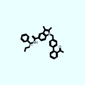 C=C(N[C@@H](CCC)c1ccccc1)c1ccc2c(c1)c(C)c(C)n2Cc1ccc(-c2ccccc2C(C)=O)cc1